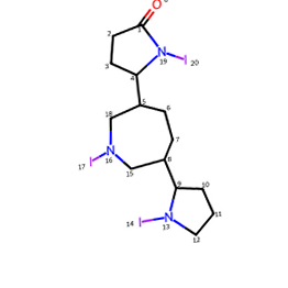 O=C1CCC(C2CCC(C3CCCN3I)CN(I)C2)N1I